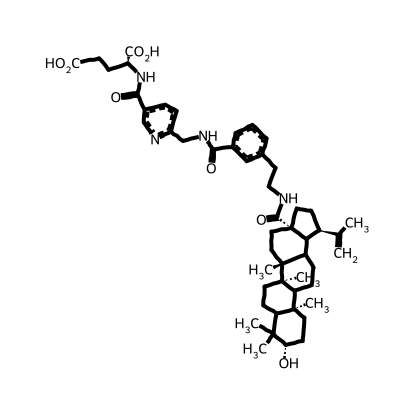 C=C(C)[C@@H]1CC[C@]2(C(=O)NCCc3cccc(C(=O)NCc4ccc(C(=O)N[C@H](CCC(=O)O)C(=O)O)cn4)c3)CC[C@]3(C)C(CCC4[C@@]5(C)CC[C@H](O)C(C)(C)C5CC[C@]43C)C12